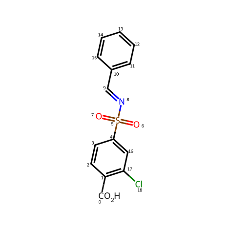 O=C(O)c1ccc(S(=O)(=O)/N=C/c2ccccc2)cc1Cl